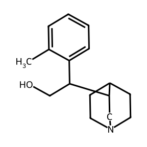 Cc1ccccc1C(CO)C1CN2CCC1CC2